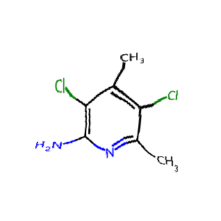 Cc1nc(N)c(Cl)c(C)c1Cl